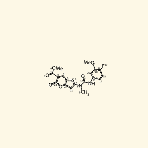 COC(=O)c1cc2sc(N(C)C(=O)Nc3ccc(F)c(OC)c3)cc2oc1=O